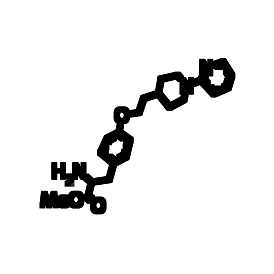 COC(=O)C(N)Cc1ccc(OCCC2CCN(c3ccccn3)CC2)cc1